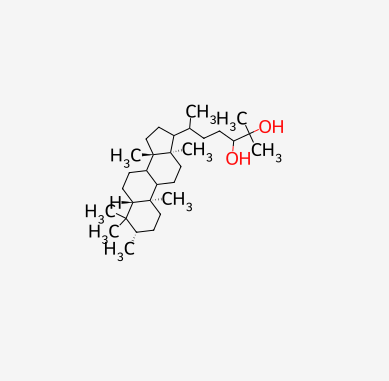 CC(CCC(O)C(C)(C)O)C1CC[C@@]2(C)C3CC[C@H]4C(C)(C)[C@@H](C)CC[C@]4(C)C3CC[C@]12C